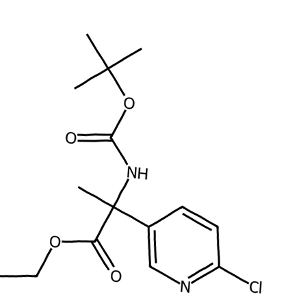 CCOC(=O)C(C)(NC(=O)OC(C)(C)C)c1ccc(Cl)nc1